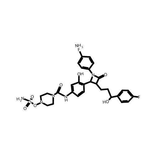 N.NS(=O)(=O)ON1CCN(C(=O)Nc2ccc(C3C(CCC(O)c4ccc(F)cc4)C(=O)N3c3ccc(F)cc3)c(O)c2)CC1